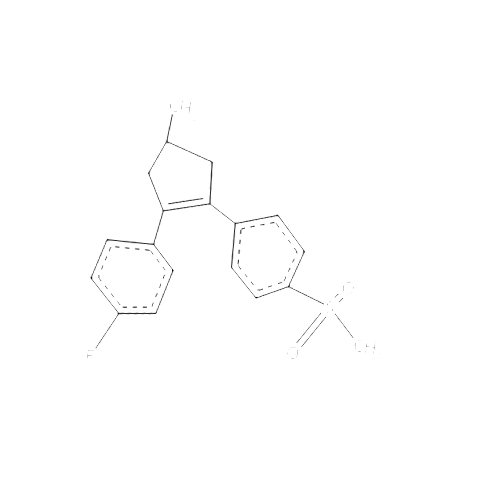 CC1CC(c2ccc(F)cc2)=C(c2ccc(S(C)(=O)=O)cc2)C1